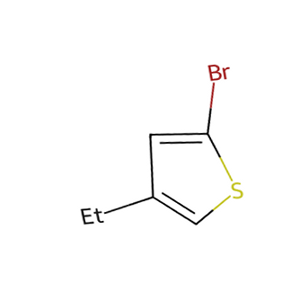 [CH2]Cc1csc(Br)c1